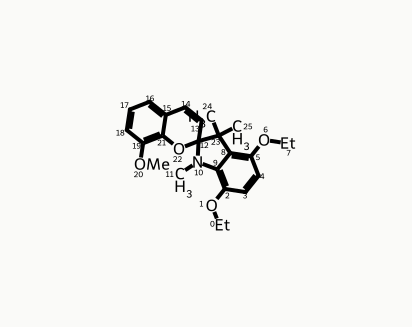 CCOc1ccc(OCC)c2c1N(C)C1(C=Cc3cccc(OC)c3O1)C2(C)C